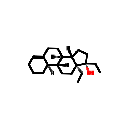 CC[C@]1(O)CC[C@H]2[C@@H]3CCC4=CCCC[C@@H]4[C@H]3CC[C@@]21CC